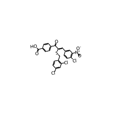 O=C(O)c1ccc(C(=O)C(=Cc2ccc(Cl)c([N+](=O)[O-])c2)SCc2ccc(Cl)cc2Cl)cc1